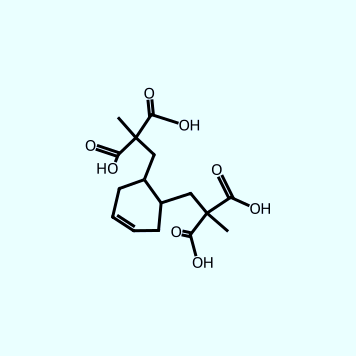 CC(CC1CC=CCC1CC(C)(C(=O)O)C(=O)O)(C(=O)O)C(=O)O